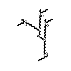 CCCCCC(CC)OC(=O)CCCCCCCCN(CCCCCCCCC(=O)OC(CC)CCCCC)CCCN(C)CCCN(CCCCCCCCC(=O)OC(CC)CCCCC)CCCCCCCCC(=O)OC(CC)CCCCC